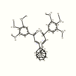 COc1cc(C(=O)/C=C/[C]23[CH]4[CH]5[CH]6[CH]2[Fe]56432789[CH]3[CH]2[CH]7[C]8(/C=C/C(=O)c2cc(OC)c(OC)c(OC)c2)[CH]39)cc(OC)c1OC